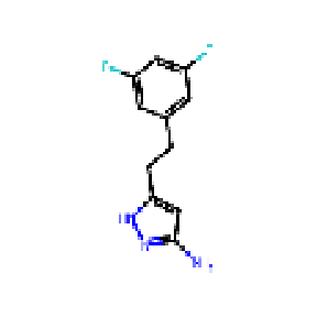 Nc1cc(CCc2cc(F)cc(F)c2)[nH]n1